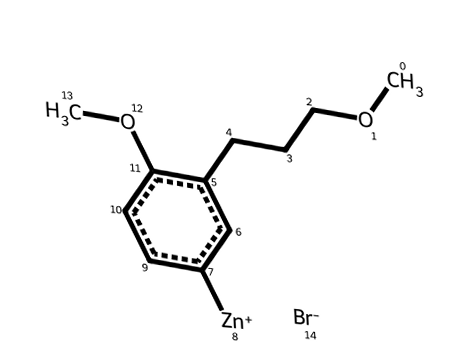 COCCCc1c[c]([Zn+])ccc1OC.[Br-]